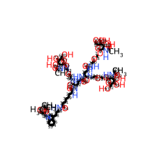 CC(=O)NC1C(OCCOCCNC(=O)CCC(NC(=O)CCC(NC(=O)CCCCCCC(=O)NCCCc2cn(C[C@@H](CO)OC(C)(C)C)c3ccccc23)C(=O)NCCOCCOC2OC(CO)C(O)C(O)C2NC(C)=O)C(=O)NCCOCCOC2OC(CO)C(O)C(O)C2NC(C)=O)OC(CO)C(O)C1O